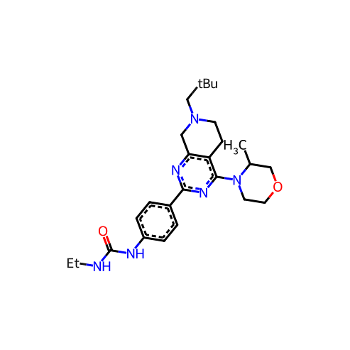 CCNC(=O)Nc1ccc(-c2nc3c(c(N4CCOCC4C)n2)CCN(CC(C)(C)C)C3)cc1